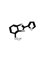 O=C(O)c1cccc2nc(-c3ccco3)[nH]c12